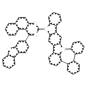 c1ccc2c(c1)-c1ccccc1-n1c3cc4c5ccccc5n(-c5nc(-c6ccc7c(c6)oc6ccccc67)c6c(ccc7ccccc76)n5)c4cc3c3cccc-2c31